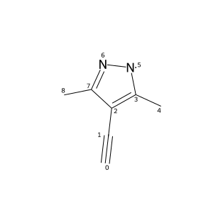 C#CC1=C(C)[N]N=C1C